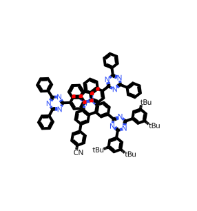 CC(C)(C)c1cc(-c2nc(-c3cc(C(C)(C)C)cc(C(C)(C)C)c3)nc(-c3ccc(-n4c5ccccc5c5cc(-c6nc(-c7ccccc7)nc(-c7ccccc7)n6)ccc54)c(-c4cc(-c5ccc(C#N)cc5)ccc4-n4c5ccccc5c5cc(-c6nc(-c7ccccc7)nc(-c7ccccc7)n6)ccc54)c3)n2)cc(C(C)(C)C)c1